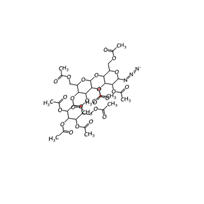 CC(=O)OCC1OC(N=[N+]=[N-])C(OC(C)=O)C(OC(C)=O)C1OC1OC(COC(C)=O)C(OC2OC(COC(C)=O)C(OC(C)=O)C(OC(C)=O)C2OC(C)=O)C(OC(C)=O)C1OC(C)=O